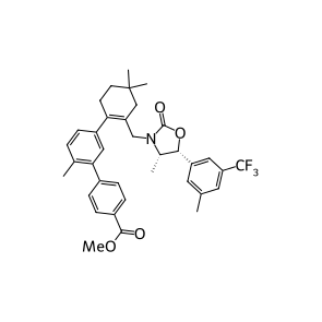 COC(=O)c1ccc(-c2cc(C3=C(CN4C(=O)O[C@H](c5cc(C)cc(C(F)(F)F)c5)[C@@H]4C)CC(C)(C)CC3)ccc2C)cc1